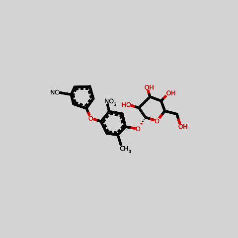 Cc1cc(Oc2cccc(C#N)c2)c([N+](=O)[O-])cc1O[C@H]1OC(CO)C(O)C(O)C1O